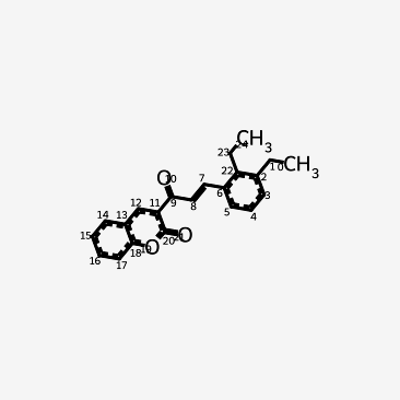 CCc1cccc(C=CC(=O)c2cc3ccccc3oc2=O)c1CC